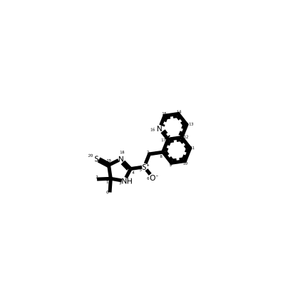 CC1(C)NC([S+]([O-])Cc2cccc3cccnc23)=NC1=S